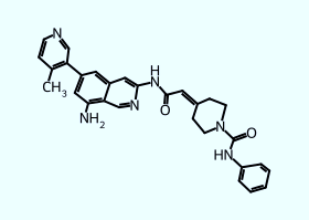 Cc1ccncc1-c1cc(N)c2cnc(NC(=O)C=C3CCN(C(=O)Nc4ccccc4)CC3)cc2c1